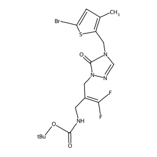 Cc1cc(Br)sc1Cn1cnn(CC(CNC(=O)OC(C)(C)C)=C(F)F)c1=O